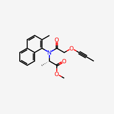 CC#COCC(=O)N(c1c(C)ccc2ccccc12)[C@@H](C)C(=O)OC